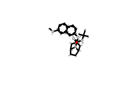 COc1ccc2ccc(OC3CC4CCC(C3)N4C(=O)OC(C)(C)C)cc2c1